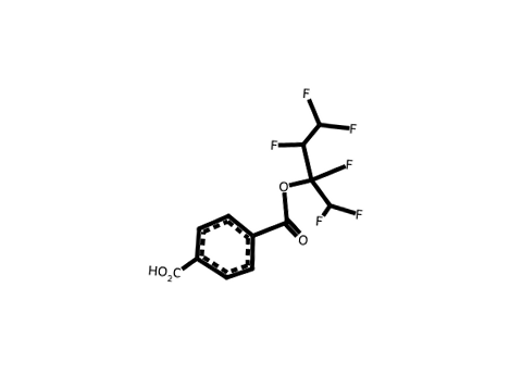 O=C(O)c1ccc(C(=O)OC(F)(C(F)F)C(F)C(F)F)cc1